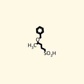 CC(CCCS(=O)(=O)O)OCc1ccccc1